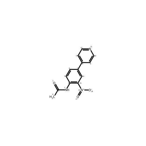 CC(=O)Nc1ccc(-c2ccncc2)cc1[N+](=O)[O-]